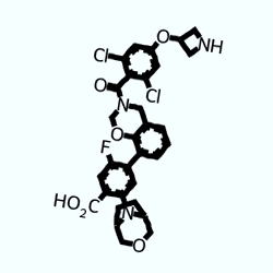 O=C(O)c1cc(F)c(-c2cccc3c2OCN(C(=O)c2c(Cl)cc(OC4CNC4)cc2Cl)C3)cc1N1C2CCC1COC2